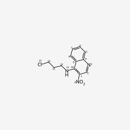 O=[N+]([O-])c1cnc2ccccc2c1NCCCCl